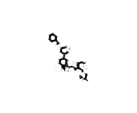 Cc1cn(-c2nccc3[nH]c(-c4n[nH]c5ccc(-c6cncc(OCc7ccccc7)c6)cc45)cc23)cn1